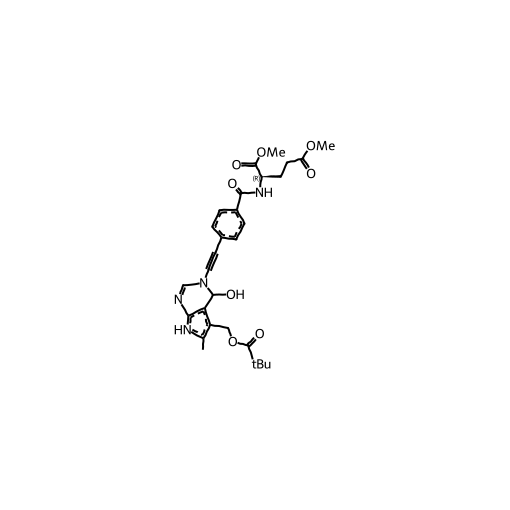 COC(=O)CC[C@@H](NC(=O)c1ccc(C#CN2C=Nc3[nH]c(C)c(COC(=O)C(C)(C)C)c3C2O)cc1)C(=O)OC